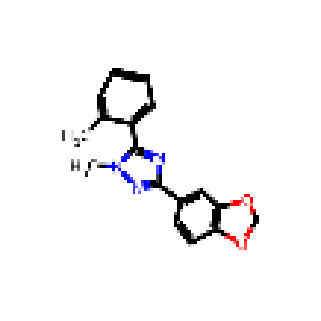 Cc1ccccc1-c1nc(-c2ccc3c(c2)OCO3)nn1C